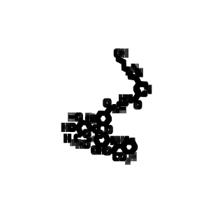 CC[C@@H]1CC(C(=O)NCCNC(=O)c2cncc(-c3cn(CCCO)nn3)c2)CC(O[C@@H]2O[C@@H](CO)C(O)C(O[C@@H](CC3CCCCC3)C(=O)O)C2NC(C)=O)C1OC1OC(C)C(O)C(O)C1O